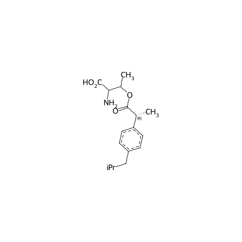 CC(C)Cc1ccc([C@@H](C)C(=O)OC(C)C(N)C(=O)O)cc1